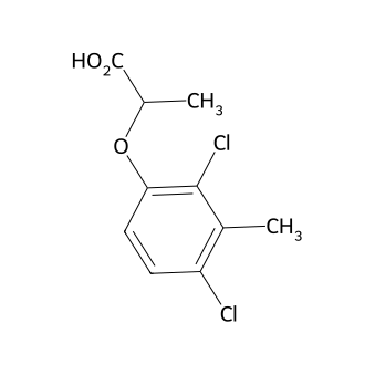 Cc1c(Cl)ccc(OC(C)C(=O)O)c1Cl